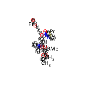 CCCC(=O)N(/N=C/c1c(OCCCCCCOCC2(CC)COC2)ccc2c(/C=N/N(c3ccccc3)c3ccccc3)c(C(=O)Oc3ccc(C(=O)Oc4ccc(C)cc4C)cc3OC)ccc12)c1nc2ccccc2s1